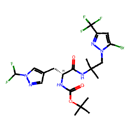 CC(C)(Cn1nc(C(F)(F)F)cc1Br)NC(=O)[C@@H](Cc1cnn(C(F)F)c1)NC(=O)OC(C)(C)C